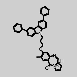 Cc1cc2c(cc1OCCCn1c3ccc(-c4ccccc4)cc3c3cc(-c4ccccc4)ccc31)N=C[C@@H]1CCCN1C2=O